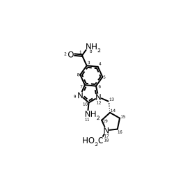 NC(=O)c1ccc2c(c1)nc(N)n2C[C@@H]1CCN(C(=O)O)C1